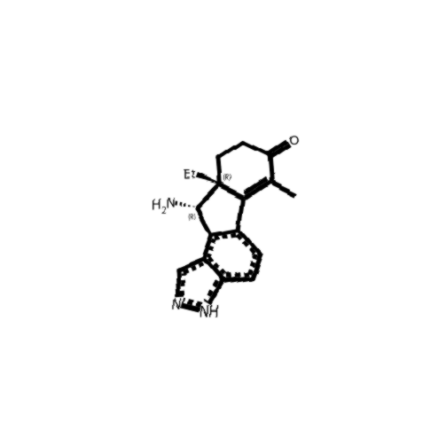 CC[C@@]12CCC(=O)C(C)=C1c1ccc3[nH]ncc3c1[C@@H]2N